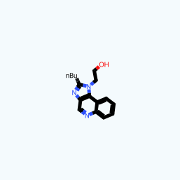 CCCCc1nc2cnc3ccccc3c2n1CCO